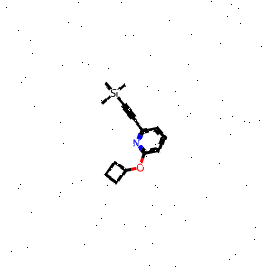 C[Si](C)(C)C#Cc1cccc(OC2CCC2)n1